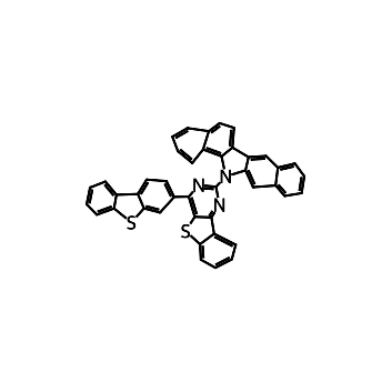 c1ccc2cc3c(cc2c1)c1ccc2ccccc2c1n3-c1nc(-c2ccc3c(c2)sc2ccccc23)c2sc3ccccc3c2n1